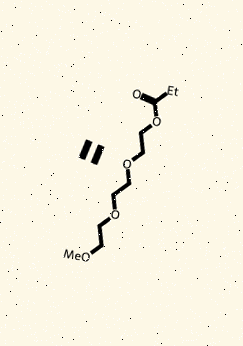 C=C.C=C.CCC(=O)OCCOCCOCCOC